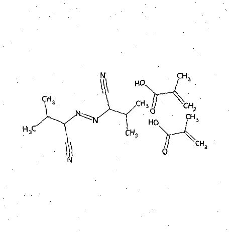 C=C(C)C(=O)O.C=C(C)C(=O)O.CC(C)C(C#N)N=NC(C#N)C(C)C